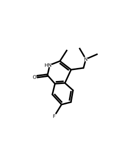 Cc1[nH]c(=O)c2cc(F)ccc2c1CN(C)C